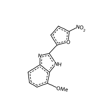 COc1cccc2nc(-c3ccc([N+](=O)[O-])o3)[nH]c12